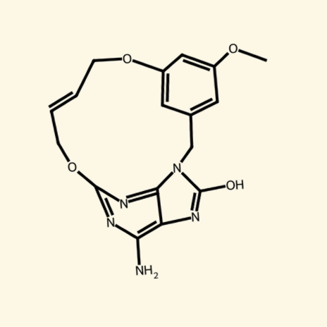 COc1cc2cc(c1)OC/C=C/COc1nc(N)c3nc(O)n(c3n1)C2